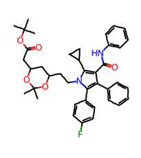 CC(C)(C)OC(=O)CC1CC(CCn2c(-c3ccc(F)cc3)c(-c3ccccc3)c(C(=O)Nc3ccccc3)c2C2CC2)OC(C)(C)O1